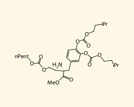 CCCCCOC(=O)OCC[C@@](N)(Cc1ccc(OC(=O)OCCC(C)C)c(OC(=O)OCCC(C)C)c1)C(=O)OC